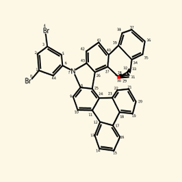 Brc1cc(Br)cc(-n2c3ccc4c5ccccc5c5ccccc5c4c3c3c4c5ccccc5c5ccccc5c4ccc32)c1